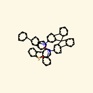 c1ccc(-c2ccc(N(c3ccc4c(c3)C3(c5ccccc5-c5ccc(N(c6ccccc6)c6ccccc6)cc53)c3ccccc3-4)c3cccc4sc5ccccc5c34)cc2)cc1